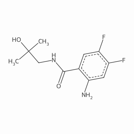 CC(C)(O)CNC(=O)c1cc(F)c(F)cc1N